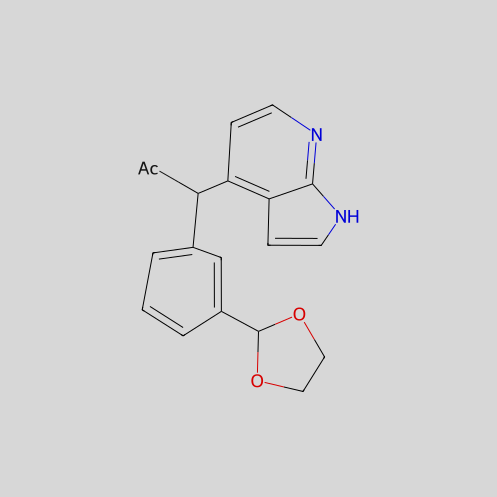 CC(=O)C(c1cccc(C2OCCO2)c1)c1ccnc2[nH]ccc12